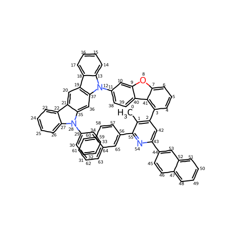 Cc1c(-c2cccc3oc4cc(-n5c6ccccc6c6cc7c8ccccc8n(-c8ccccc8)c7cc65)ccc4c23)cc(-c2ccc3ccccc3c2)nc1-c1ccc2ccccc2c1